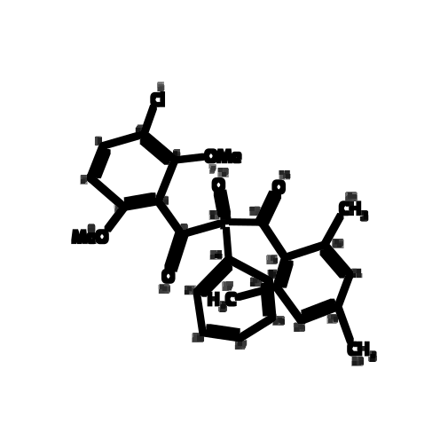 COc1ccc(Cl)c(OC)c1C(=O)P(=O)(C(=O)c1c(C)cc(C)cc1C)c1ccccc1